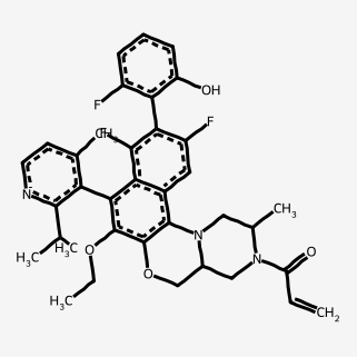 C=CC(=O)N1CC2COc3c(OCC)c(-c4c(C)ccnc4C(C)C)c4c(F)c(-c5c(O)cccc5F)c(F)cc4c3N2CC1C